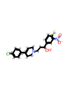 O=[N+]([O-])c1cc(C(O)CCN2CC=C(c3ccc(Cl)cc3)CC2)ccc1F